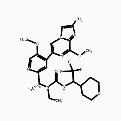 CCN(C(=O)NC(C1CCOCC1)C(F)(F)F)[C@H](C)c1cc(-c2cn3cc(C)nc3c(OC)n2)c(OC)cn1